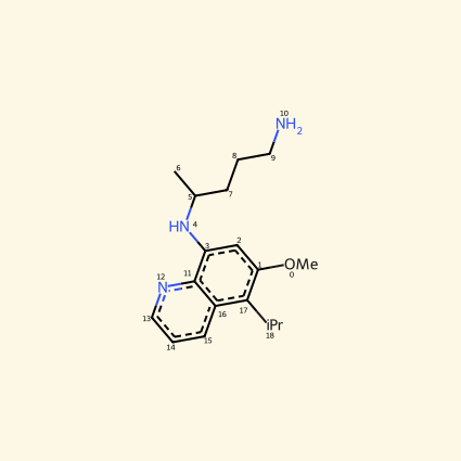 COc1cc(NC(C)CCCN)c2ncccc2c1C(C)C